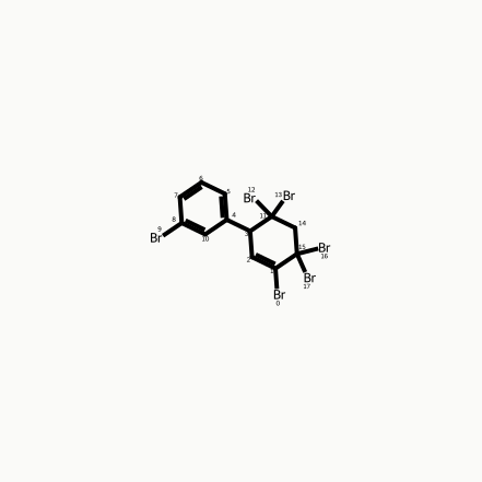 BrC1=CC(c2cccc(Br)c2)C(Br)(Br)CC1(Br)Br